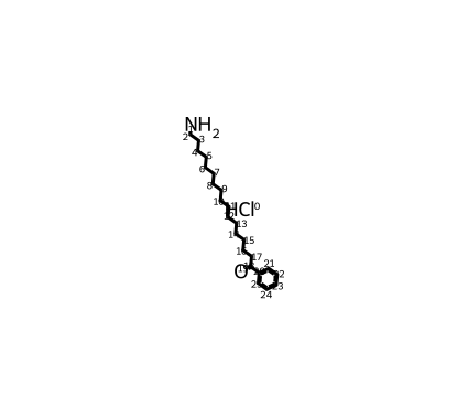 Cl.NCCCCCCCCCCCCCCCCC(=O)c1ccccc1